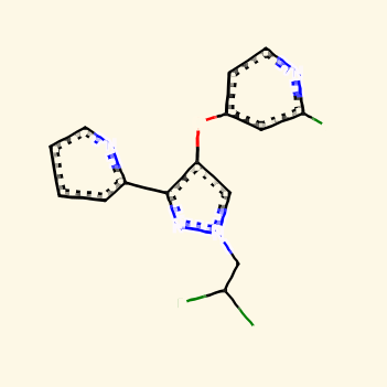 FC(F)Cn1cc(Oc2ccnc(Cl)c2)c(-c2ccccn2)n1